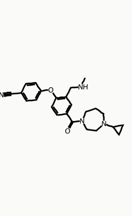 CNCc1cc(C(=O)N2CCCN(C3CC3)CC2)ccc1Oc1ccc(C#N)cc1